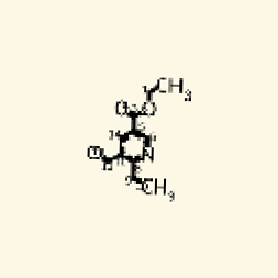 CCOC(=O)c1cnc(CC)c(C=O)c1